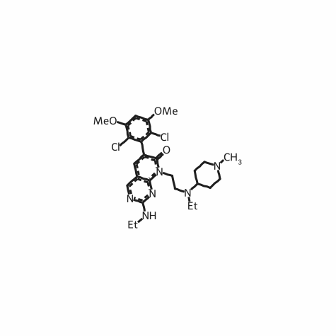 CCNc1ncc2cc(-c3c(Cl)c(OC)cc(OC)c3Cl)c(=O)n(CCN(CC)C3CCN(C)CC3)c2n1